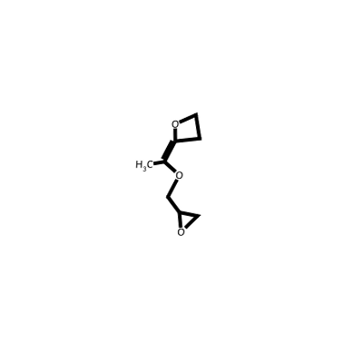 CC(OCC1CO1)=C1CCO1